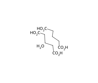 O.O=C(O)CCCC(=O)O.O=C(O)CCCC(=O)O